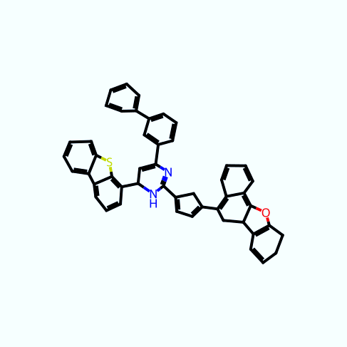 C1=CC2=C(CC1)OC1=c3ccccc3=C(C3=CC=C(C4=NC(c5cccc(-c6ccccc6)c5)=CC(c5cccc6c5sc5ccccc56)N4)C3)CC21